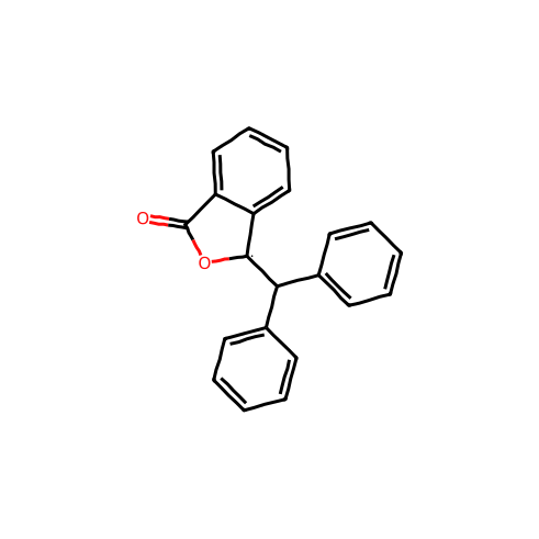 O=C1O[C](C(c2ccccc2)c2ccccc2)c2ccccc21